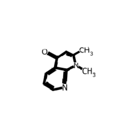 Cc1cc(=O)c2cccnc2n1C